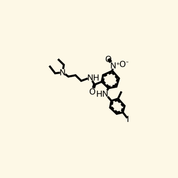 CCN(CC)CCCNC(=O)c1cc([N+](=O)[O-])ccc1Nc1ccc(I)cc1C